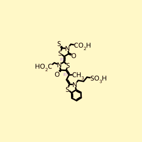 C/C(C=C1Sc2ccccc2N1CCCS(=O)(=O)O)=c1\s/c(=C2/SC(=S)N(CC(=O)O)C2=O)n(CC(=O)O)c1=O